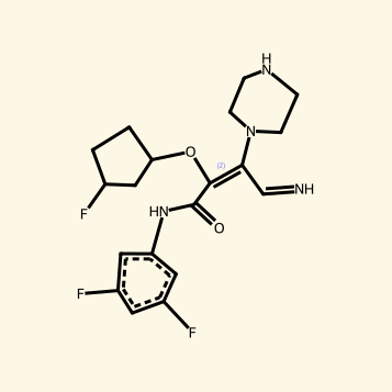 N=C/C(=C(/OC1CCC(F)C1)C(=O)Nc1cc(F)cc(F)c1)N1CCNCC1